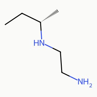 CC[C@H](C)NCCN